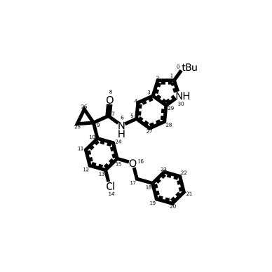 CC(C)(C)c1cc2cc(NC(=O)C3(c4ccc(Cl)c(OCc5ccccc5)c4)CC3)ccc2[nH]1